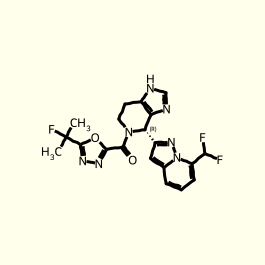 CC(C)(F)c1nnc(C(=O)N2CCc3[nH]cnc3[C@@H]2c2cc3cccc(C(F)F)n3n2)o1